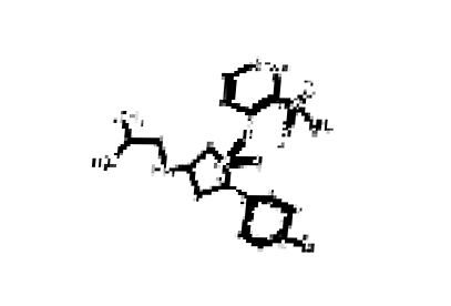 CC(C)CNC1C[C@H](c2ccc(O)cc2)S(=O)(=O)C1.NS(=O)(=O)C1=CC=CNS1